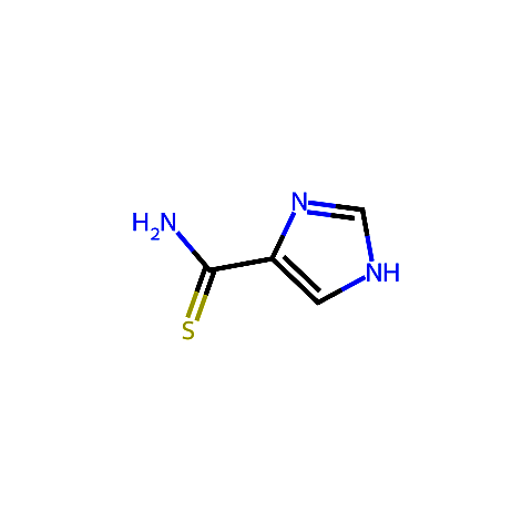 NC(=S)c1c[nH]cn1